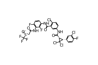 O=C(C[S+]([O-])C(F)(F)F)Nc1c(F)ccc(NC(=O)c2cc(NC(=O)[C@H]3[C@H](c4ccc(F)c(Cl)c4)C3(Cl)Cl)ccc2Cl)c1F